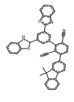 CC1(C)c2ccccc2-c2ccc(-c3ccc(C#N)c(-c4cc(-c5nc6ccccc6o5)cc(C5Nc6ccccc6O5)c4)c3C#N)cc21